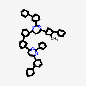 CC1CC(C2=CCC(c3cccc(-c4cccc(C5=NC(c6ccccc6)=NC(C6C=C(c7ccccc7)C=CC6)=CC5)c4)c3)=NC(c3cccc(-c4ccccc4)c3)=N2)=CC=C1c1ccccc1